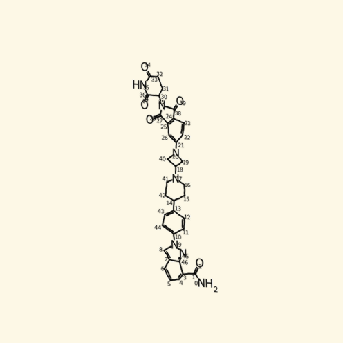 NC(=O)c1cccc2cn(-c3ccc(C4CCN(C5CN(c6ccc7c(c6)C(=O)N(C6CCC(=O)NC6=O)C7=O)C5)CC4)cc3)nc12